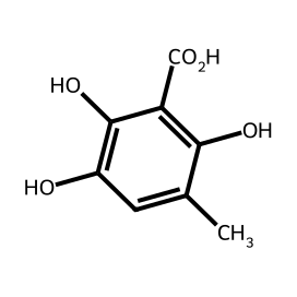 Cc1cc(O)c(O)c(C(=O)O)c1O